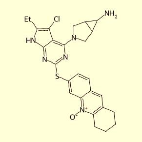 CCc1[nH]c2nc(Sc3ccc4cc5c([n+]([O-])c4c3)CCCC5)nc(N3CC4C(N)C4C3)c2c1Cl